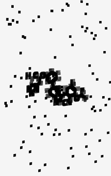 C[C@@H](Cn1cnnn1)Oc1cccc(-c2ccc3ncc(-c4cc(F)cc(OC(F)F)c4C#N)n3n2)n1